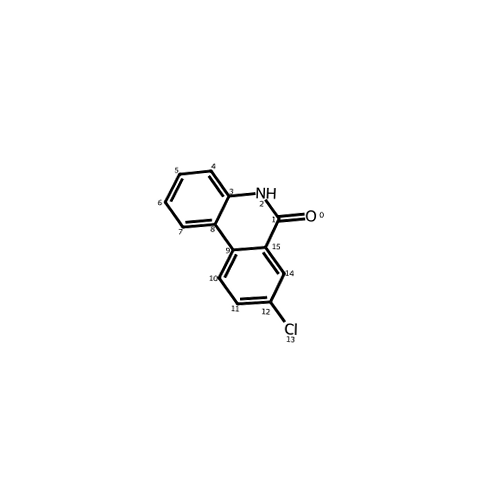 O=c1[nH]c2ccccc2c2ccc(Cl)cc12